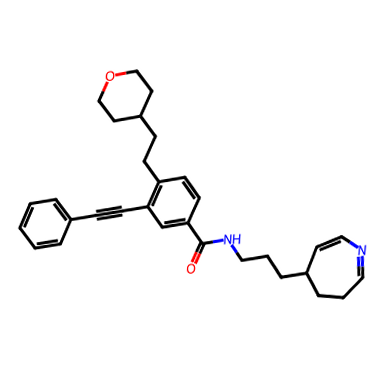 O=C(NCCCC1C=CN=CCC1)c1ccc(CCC2CCOCC2)c(C#Cc2ccccc2)c1